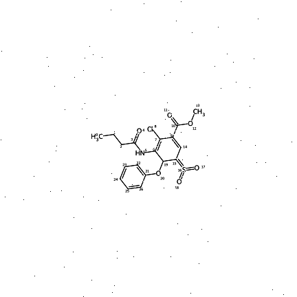 CCCC(=O)NC1=C(Cl)C(C(=O)OC)=CC(=S(=O)=O)C1Oc1ccccc1